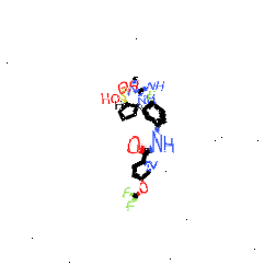 CN1C(=N)N[C@@]2(c3cc(NC(=O)c4ccc(OC(F)F)cn4)ccc3F)CCC[C@H]2S1(O)O